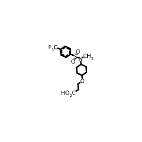 CN(C1CCC(OCCC(=O)O)CC1)S(=O)(=O)c1ccc(C(F)(F)F)cc1